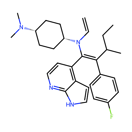 C=CN(/C(=C(/c1ccc(F)cc1)C(C)CC)c1ccnc2[nH]ccc12)[C@H]1CC[C@@H](N(C)C)CC1